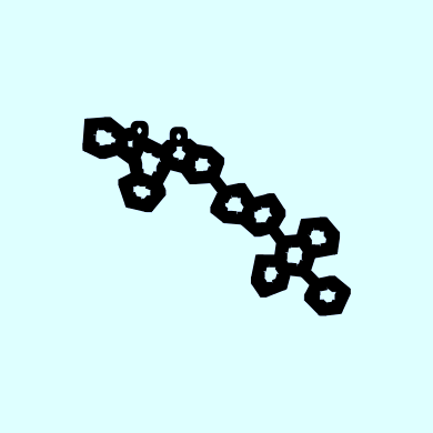 c1ccc(-c2c3ccccc3c(-c3ccc4cc(-c5ccc6oc7c8oc9ccccc9c8c8ccccc8c7c6c5)ccc4c3)c3ccccc23)cc1